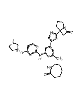 Cc1cc(Nc2nccc(O[C@@H]3CCNC3)n2)cc(-c2cnc(C34CCCN3C(=O)C4)s2)c1.O=C1CCCCCN1